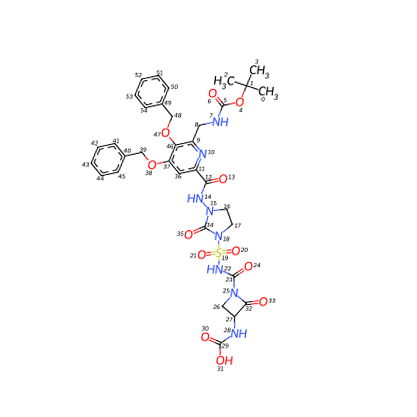 CC(C)(C)OC(=O)NCc1nc(C(=O)NN2CCN(S(=O)(=O)NC(=O)N3CC(NC(=O)O)C3=O)C2=O)cc(OCc2ccccc2)c1OCc1ccccc1